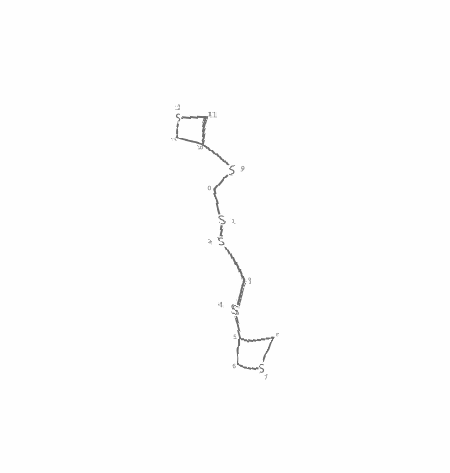 C(SSCSC1CSC1)SC1CSC1